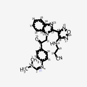 CN(C)/C=N\c1ccc(C(=O)Cn2c(-c3nonc3NCCC#N)nc3ccccc32)cc1